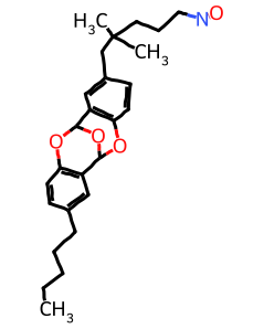 CCCCCc1ccc2c(c1)C1Oc3ccc(CC(C)(C)CCCN=O)cc3C(O2)O1